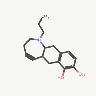 CCCN1CCC#CC2Cc3c(ccc(O)c3O)CC21